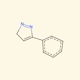 C1=C(c2ccccc2)N=NC1